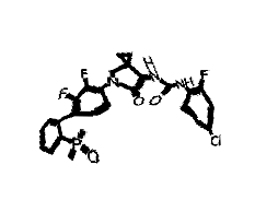 CP(C)(=O)c1ccccc1-c1ccc(N2CC3(CC3)C(NC(=O)Nc3ccc(Cl)cc3F)C2=O)c(F)c1F